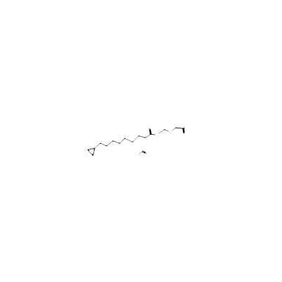 O=C(O)CNCNC(=O)CCCCCCCCC1CC1.O=CO